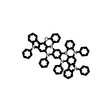 c1ccc(N2c3cc4c(cc3B3c5ccccc5Oc5c3c2cc2c5c3ccccc3n2-c2ccccc2)B2c3ccccc3N(c3ccccc3)c3cc5c(c(c32)N4c2ccccc2)c2ccccc2n5-c2ccccc2)cc1